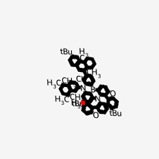 Cc1cc2c3c(c1)N(c1cccc4oc5ccc(C(C)(C)C)cc5c14)c1c(ccc4oc5ccc(C(C)(C)C)cc5c14)B3c1ccc(C3=Cc4ccc(C(C)(C)C)cc4C4(C)CCCCC34C)cc1N2c1cc2c(cc1C)C(C)(C)CCC2(C)C